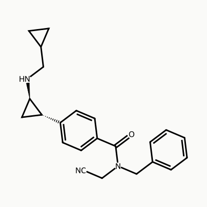 N#CCN(Cc1ccccc1)C(=O)c1ccc([C@@H]2C[C@H]2NCC2CC2)cc1